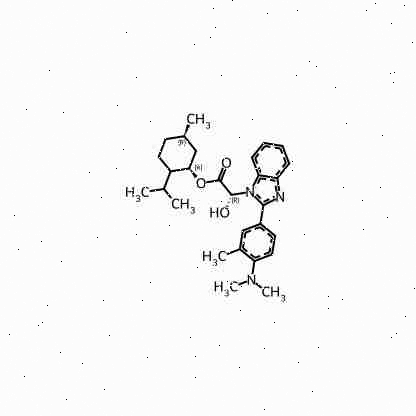 Cc1cc(-c2nc3ccccc3n2[C@H](O)C(=O)O[C@@H]2C[C@H](C)CCC2C(C)C)ccc1N(C)C